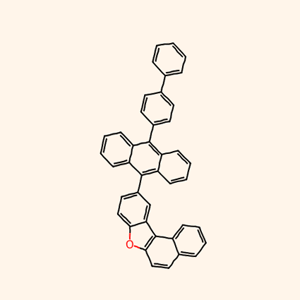 c1ccc(-c2ccc(-c3c4ccccc4c(-c4ccc5oc6ccc7ccccc7c6c5c4)c4ccccc34)cc2)cc1